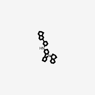 c1cc(Nc2ccc3c(c2)c2ccccc2n3-c2cccc3ccccc23)cc(-c2ccc3ccccc3c2)c1